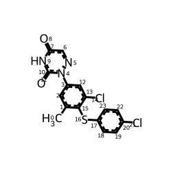 Cc1cc(-n2ncc(=O)[nH]c2=O)cc(Cl)c1Sc1ccc(Cl)cc1